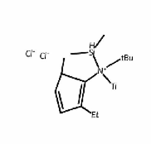 CCC1=C([N+]([Ti])([SiH](C)C)C(C)(C)C)C(C)C=C1.[Cl-].[Cl-]